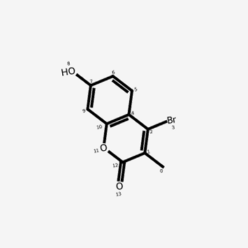 Cc1c(Br)c2ccc(O)cc2oc1=O